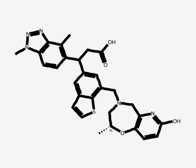 Cc1c(C(CC(=O)O)c2cc(CN3Cc4nc(O)ccc4O[C@H](C)C3)c3sccc3c2)ccc2c1nnn2C